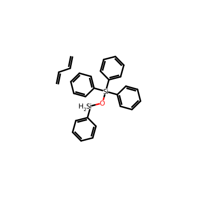 C=CC=C.c1ccc([SiH2]O[Si](c2ccccc2)(c2ccccc2)c2ccccc2)cc1